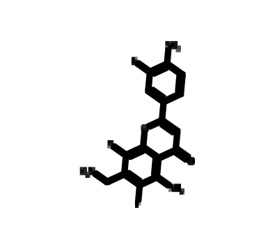 NCc1c(F)c(N)c2c(=O)cc(-c3ccc(N)c(F)c3)oc2c1F